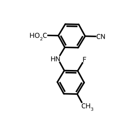 Cc1ccc(Nc2cc(C#N)ccc2C(=O)O)c(F)c1